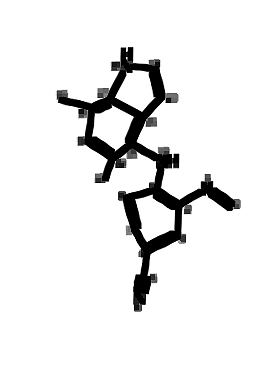 C=Nc1cc(C#N)ccc1Nc1c(C)cc(C)c2[nH]ccc12